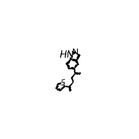 C=C(CCC(=C)c1cccs1)c1ccc2[nH]ncc2c1